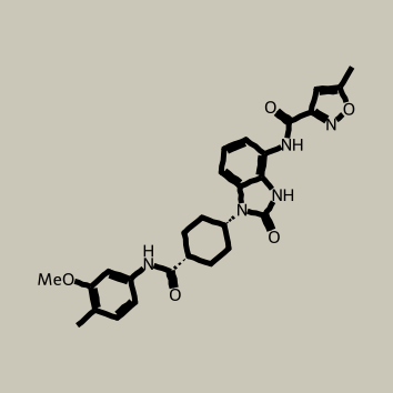 COc1cc(NC(=O)[C@H]2CC[C@@H](n3c(=O)[nH]c4c(NC(=O)c5cc(C)on5)cccc43)CC2)ccc1C